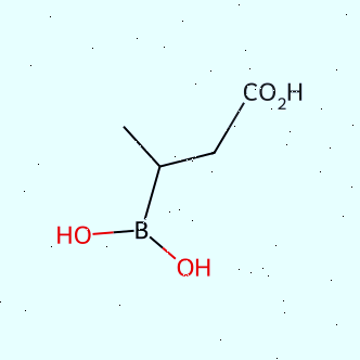 CC(CC(=O)O)B(O)O